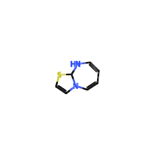 C1=CNC2SC=CN2C=C1